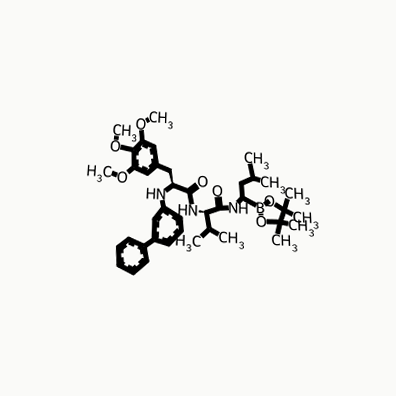 COc1cc(C[C@H](Nc2cccc(-c3ccccc3)c2)C(=O)N[C@H](C(=O)NC(CC(C)C)B2OC(C)(C)C(C)(C)O2)C(C)C)cc(OC)c1OC